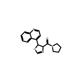 O=C(C1N=COC1c1ccnc2ccccc12)N1CCCC1